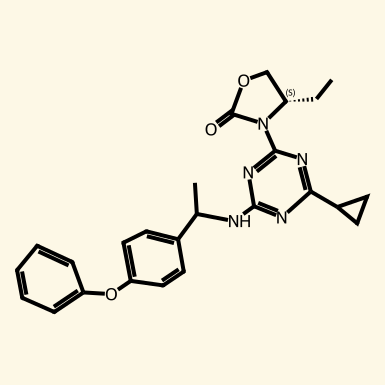 CC[C@H]1COC(=O)N1c1nc(NC(C)c2ccc(Oc3ccccc3)cc2)nc(C2CC2)n1